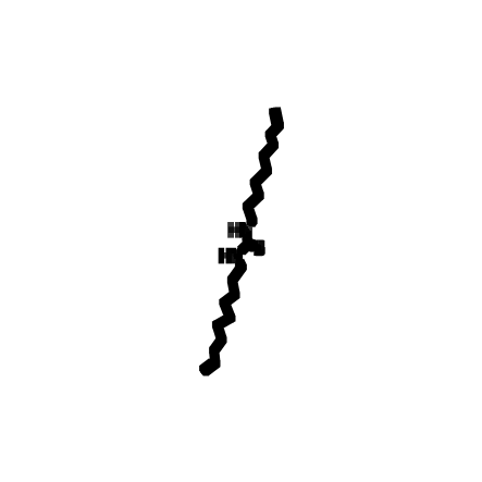 C=CCCCCCCCCNC(=S)NCCCCCCCCC=C